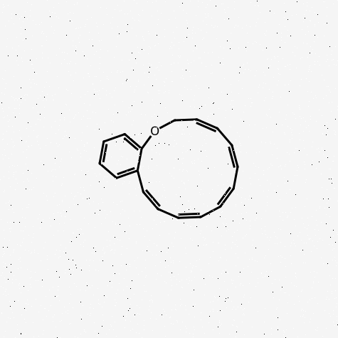 C1=CC=CC=Cc2ccccc2OCC=CC=C1